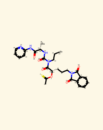 CC(=S)O[C@@H](CCCN1C(=O)c2ccccc2C1=O)C(=O)N(CCC(C)C)C(=O)N[C@H](C(=O)Nc1ccccn1)C(C)(C)C